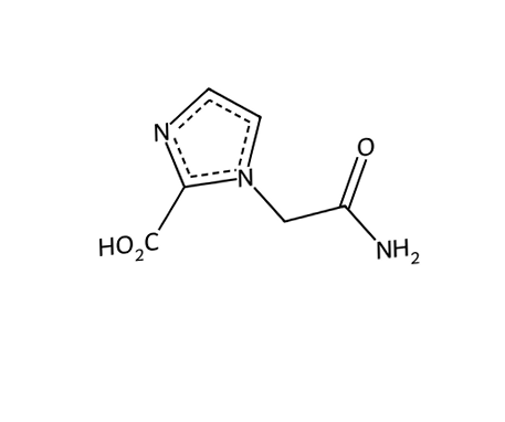 NC(=O)Cn1ccnc1C(=O)O